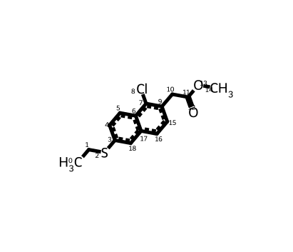 CCSc1ccc2c(Cl)c(CC(=O)OC)ccc2c1